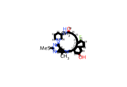 CSc1nc2c3cnc(c(C)c3n1)-c1cc(O)cc3ccc(F)c(c13)CCCC(=O)N[C@]1(C)CCCN2C1